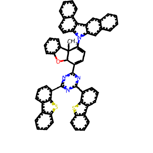 CC12C(n3c4cc5ccccc5cc4c4c5ccccc5ccc43)=CC=C(c3nc(-c4cccc5c4sc4ccccc45)nc(-c4cccc5c4sc4ccccc45)n3)C1Oc1ccccc12